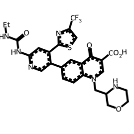 CCNC(=O)Nc1cc(-c2nc(C(F)(F)F)cs2)c(-c2ccc3c(c2)c(=O)c(C(=O)O)cn3CC2COCCN2)cn1